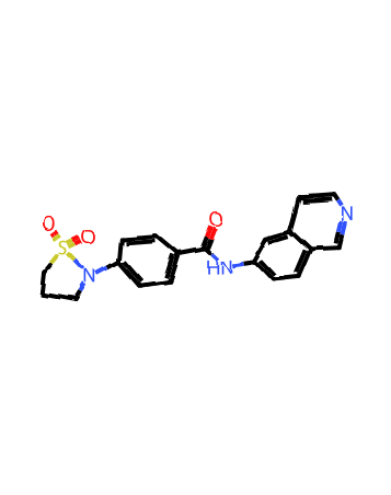 O=C(Nc1ccc2cnccc2c1)c1ccc(N2CCCS2(=O)=O)cc1